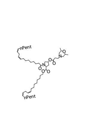 CCCCC/C=C\C/C=C\CCCCCCCCOC(=O)C1CC(OC(=O)CCN2CC(C)OC(C)C2)CN1C(=O)CCCCCCC/C=C\C/C=C\CCCCC